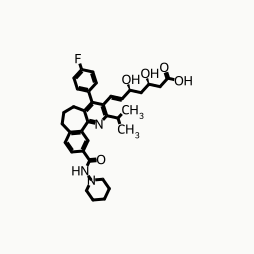 CC(C)c1nc2c(c(-c3ccc(F)cc3)c1/C=C/[C@@H](O)C[C@@H](O)CC(=O)O)CCCc1ccc(C(=O)NN3CCCCC3)cc1-2